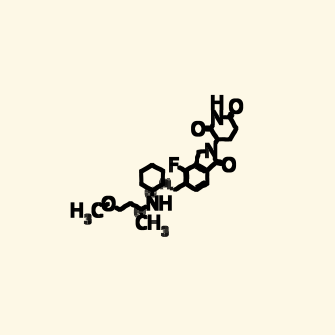 COCC[C@@H](C)N[C@H]1CCCC[C@@H]1Cc1ccc2c(c1F)CN(C1CCC(=O)NC1=O)C2=O